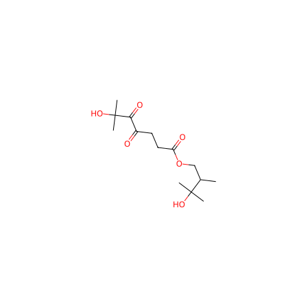 CC(COC(=O)CCC(=O)C(=O)C(C)(C)O)C(C)(C)O